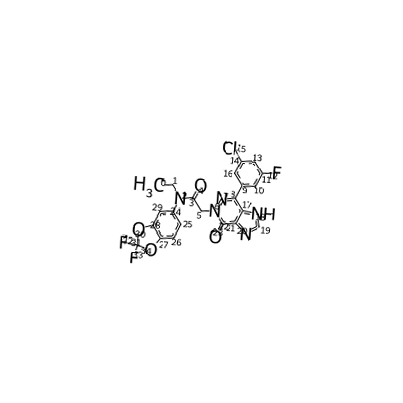 CCN(C(=O)Cn1nc(-c2cc(F)cc(Cl)c2)c2[nH]cnc2c1=O)c1ccc2c(c1)OC(F)(F)O2